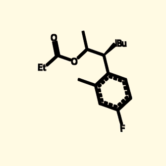 CCC(=O)OC(C)[C@H](c1ccc(F)cc1C)C(C)CC